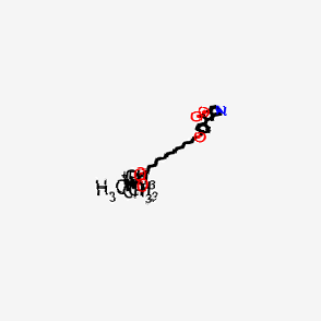 CC(C)(C)C(C)(C)C(C)(C)C(=O)OCCCCCCCCCCCCOc1ccc(-c2cc3cnccc3oc2=O)cc1